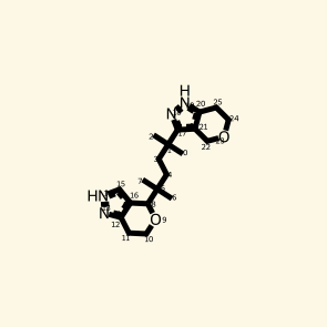 CC(C)(CCC(C)(C)C1OCCc2n[nH]cc21)c1n[nH]c2c1COCC2